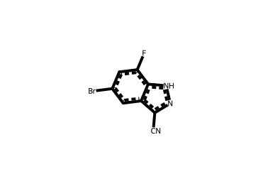 N#Cc1n[nH]c2c(F)cc(Br)cc12